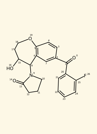 O=C(c1ccc2c(c1)C(N1CCCC1=O)C(O)CCO2)c1ccccc1F